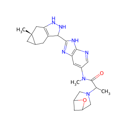 CC(C(=O)N(C)c1cnc2[nH]c(C3NNC4=C3CC3C[C@]3(C)C4)nc2c1)N1CC2CC(C1)O2